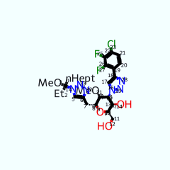 CCCCCCCC(CC)(OC)n1cc(C[C@H]2O[C@H](CO)[C@H](O)[C@H](n3cc(-c4ccc(Cl)c(F)c4F)nn3)[C@H]2OC)nn1